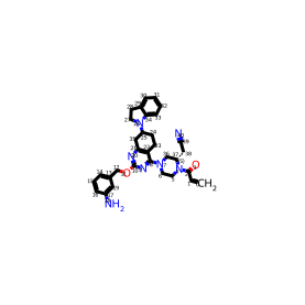 C=CC(=O)N1CCN(c2nc(OCc3cccc(N)c3)nc3c2CCC(N2CCc4ccccc42)C3)C[C@@H]1CC#N